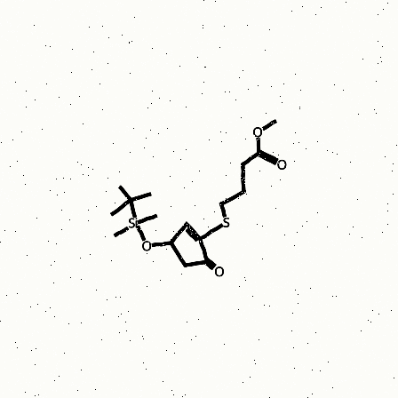 COC(=O)CCCSC1=CC(O[Si](C)(C)C(C)(C)C)CC1=O